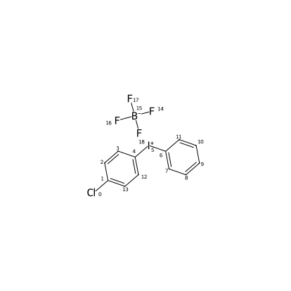 Clc1ccc([I+]c2ccccc2)cc1.F[B-](F)(F)F